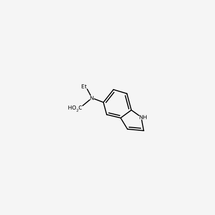 CCN(C(=O)O)c1ccc2[nH]ccc2c1